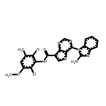 COc1cc(C)c(Cl)c(NC(=O)c2csc3c(-n4c(N)nc5ccccc54)ncnc23)c1Cl